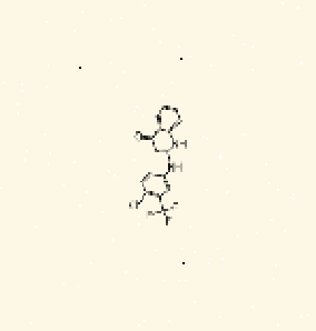 O=c1cc(Nc2ccc(Cl)c(C(F)(F)F)c2)[nH]c2ccccc12